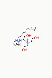 CCCCCCCCCCCCCCCCCC(=O)O.NC(=O)CO.OCCNCCO